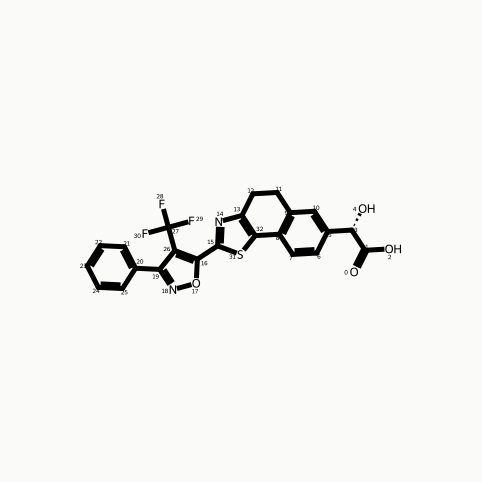 O=C(O)[C@@H](O)c1ccc2c(c1)CCc1nc(-c3onc(-c4ccccc4)c3C(F)(F)F)sc1-2